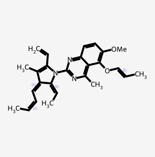 C=Cc1c(C)c(=C/C=C\C)/c(=C\C)n1-c1nc(C)c2c(O/C=C/C)c(OC)ccc2n1